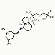 CCCC(O)(CCC)COCC(C)(C)[C@H]1CC[C@H]2/C(=C/C=C3C[C@@H](O)C[C@H](O)C3)CCC[C@]12C